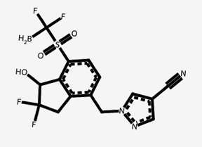 BC(F)(F)S(=O)(=O)c1ccc(Cn2cc(C#N)cn2)c2c1C(O)C(F)(F)C2